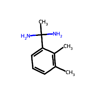 Cc1cccc(C(C)(N)N)c1C